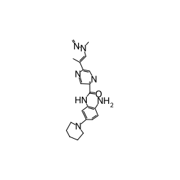 C=NN(C)/C=C(\C)c1cnc(C(=O)Nc2cc(N3CCCCC3)ccc2N)cn1